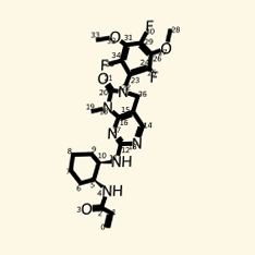 C=CC(=O)N[C@H]1CCCC[C@H]1Nc1ncc2c(n1)N(C)C(=O)N(c1c(F)c(OC)c(F)c(OC)c1F)C2